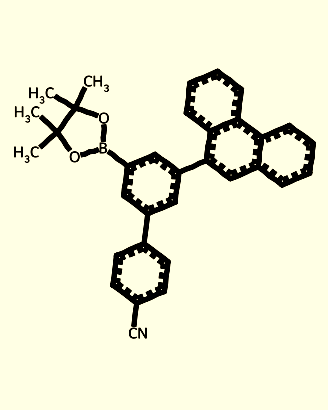 CC1(C)OB(c2cc(-c3ccc(C#N)cc3)cc(-c3cc4ccccc4c4ccccc34)c2)OC1(C)C